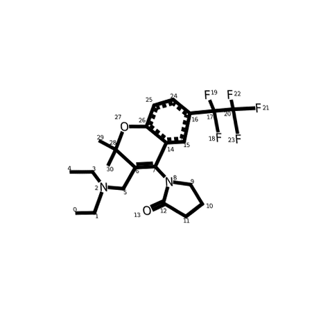 CCN(CC)CC1=C(N2CCCC2=O)c2cc(C(F)(F)C(F)(F)F)ccc2OC1(C)C